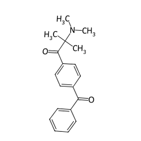 CN(C)C(C)(C)C(=O)c1ccc(C(=O)c2ccccc2)cc1